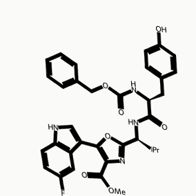 COC(=O)c1nc([C@@H](NC(=O)[C@H](Cc2ccc(O)cc2)NC(=O)OCc2ccccc2)C(C)C)oc1-c1c[nH]c2ccc(F)cc12